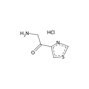 Cl.NCC(=O)c1cscn1